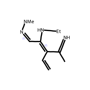 C=C/C(C(C)=N)=C(\C=N/NC)NCC